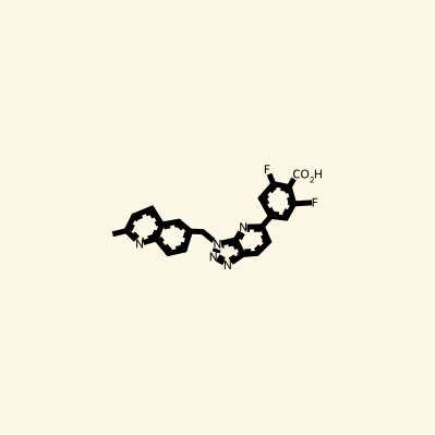 Cc1ccc2cc(Cn3nnc4ccc(-c5cc(F)c(C(=O)O)c(F)c5)nc43)ccc2n1